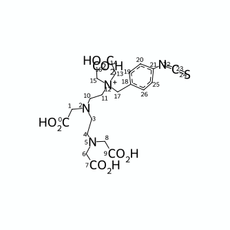 O=C(O)CN(CCN(CC(=O)O)CC(=O)O)CC[N+](CC(=O)O)(CC(=O)O)Cc1ccc(N=C=S)cc1